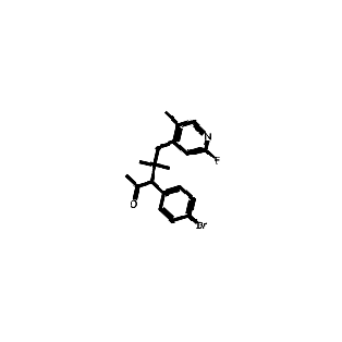 CC(=O)C(c1ccc(Br)cc1)C(C)(C)Cc1cc(F)ncc1C